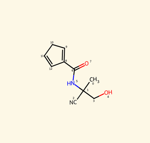 CC(C#N)(CO)NC(=O)C1=CCC=C1